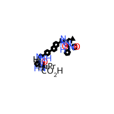 CC(C)[C@H](NC(=O)O)C(=O)N1[C@@H]2CC[C@@H](C2)[C@H]1c1ncc(-c2ccc(-c3ccc4cc(-c5cnc([C@@H]6CC7(CC7)CN6C(=O)C(c6ccccc6)N6CCOCC6)[nH]5)ccc4c3)cc2)[nH]1